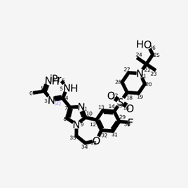 CC(=N)/N=C(\NC(C)C)c1cn2c(n1)-c1cc(S(=O)(=O)C3CCN(C(C)(C)CO)CC3)c(F)cc1OCC2